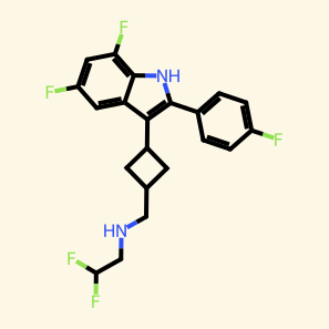 Fc1ccc(-c2[nH]c3c(F)cc(F)cc3c2C2CC(CNCC(F)F)C2)cc1